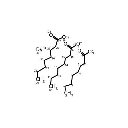 CCCCCCCC(=O)[O-].CCCCCCCC(=O)[O-].CCCCCCCC(=O)[O-].[Dy+3]